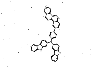 c1ccc2c(c1)ccc1c3cc(-c4ccc(N(c5ccc6c(c5)oc5ccccc56)c5ccc6oc7ccccc7c6c5)cc4)ccc3ccc21